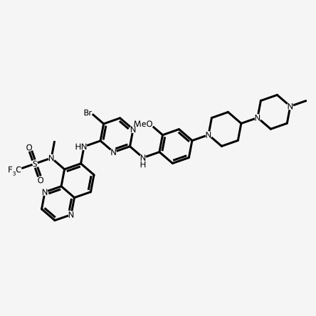 COc1cc(N2CCC(N3CCN(C)CC3)CC2)ccc1Nc1ncc(Br)c(Nc2ccc3nccnc3c2N(C)S(=O)(=O)C(F)(F)F)n1